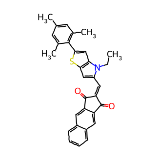 CCn1c(C=C2C(=O)c3cc4ccccc4cc3C2=O)cc2sc(-c3c(C)cc(C)cc3C)cc21